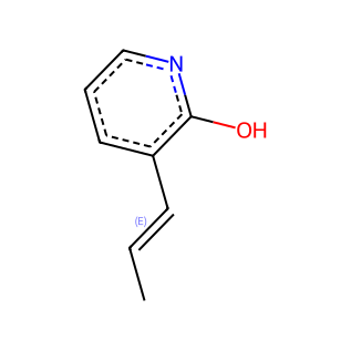 C/C=C/c1cccnc1O